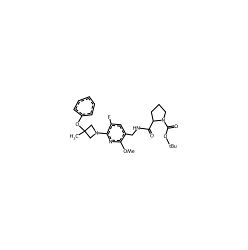 COc1nc(N2CC(C)(Oc3ccccc3)C2)c(F)cc1CNC(=O)C1CCCN1C(=O)OC(C)(C)C